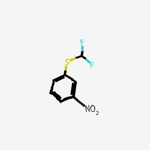 O=[N+]([O-])c1cccc(SC(F)F)c1